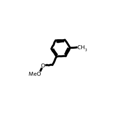 COOCc1cccc(C)c1